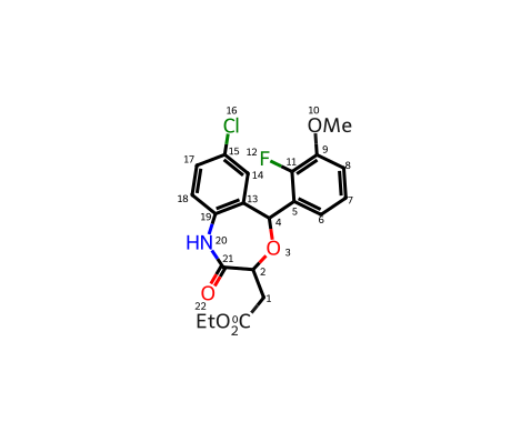 CCOC(=O)CC1OC(c2cccc(OC)c2F)c2cc(Cl)ccc2NC1=O